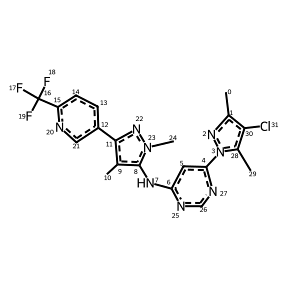 Cc1nn(-c2cc(Nc3c(C)c(-c4ccc(C(F)(F)F)nc4)nn3C)ncn2)c(C)c1Cl